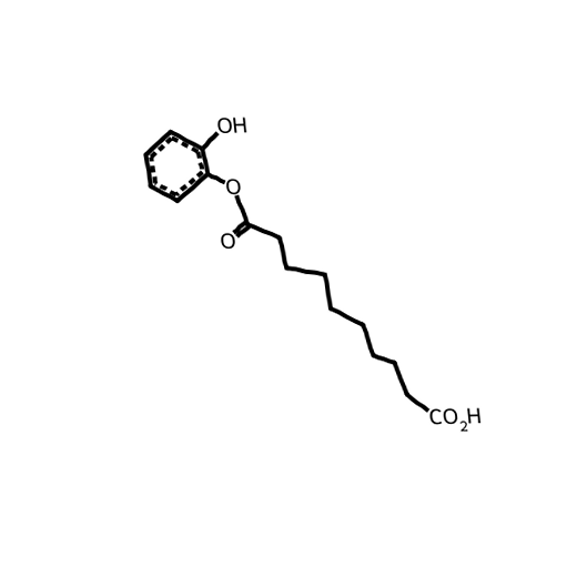 O=C(O)CCCCCCCCC(=O)Oc1ccccc1O